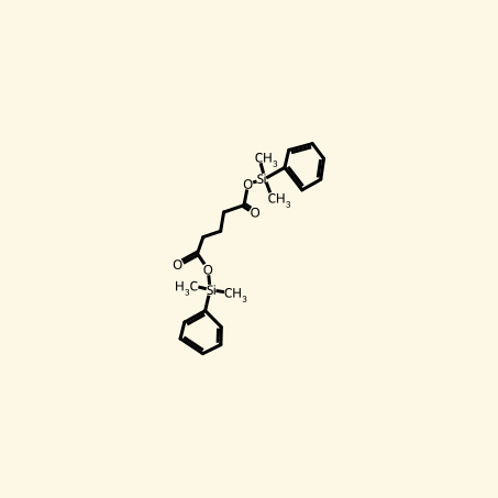 C[Si](C)(OC(=O)CCCC(=O)O[Si](C)(C)c1ccccc1)c1ccccc1